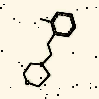 Cc1ccccc1CCN1CCOCC1